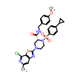 O=C(NCc1ccc(OC(F)(F)F)cc1)[C@H]1CN(c2nc3cc(C(F)(F)F)nc(Cl)c3s2)CCN1S(=O)(=O)c1ccc(C2CC2)cc1